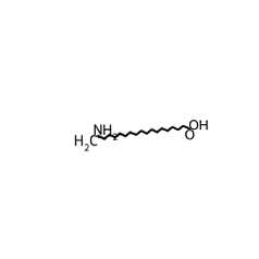 C=C(N)CCCCCCCCCCCCCCCCC(=O)O